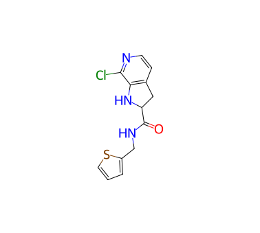 O=C(NCc1cccs1)C1Cc2ccnc(Cl)c2N1